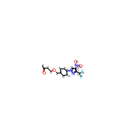 CC(=O)CCOCC1CCC(n2cc([N+](=O)[O-])c(C(F)F)n2)CC1